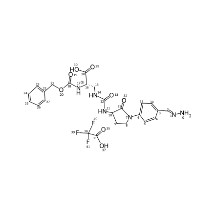 NN=Cc1ccc(N2CCC(NC(=O)NC[C@H](NC(=O)OCc3ccccc3)C(=O)O)C2=O)cc1.O=C(O)C(F)(F)F